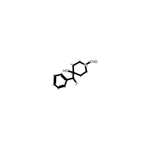 O=CN1CCC(O)(C(F)c2ccccc2)CC1